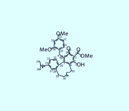 COC(=O)c1c(O)c2c(n(Cc3ccc(OC)cc3OC)c1=O)-c1ccc(N(C)C)cc1CCCC2